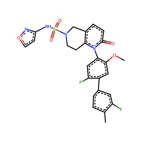 COc1cc(-c2ccc(C)c(F)c2)c(F)cc1-n1c2c(ccc1=O)CN(S(=O)(=O)Nc1ccon1)CC2